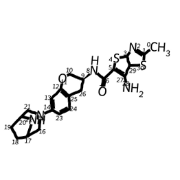 CC1=NC2SC(C(=O)N[C@@H]3COc4cc(N5CC6CCC(C5)N6)ccc4C3)=C(N)C2S1